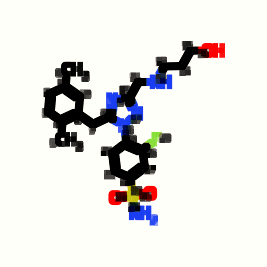 Cc1ccc(C)c(Cc2nc(CNCCCO)nn2-c2ccc(S(N)(=O)=O)cc2F)c1